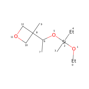 CCO[Si](C)(CC)OC(C)C1(C)COC1